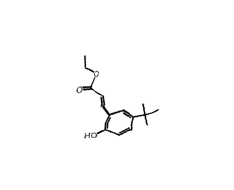 CCOC(=O)C=Cc1cc(C(C)(C)C)ccc1O